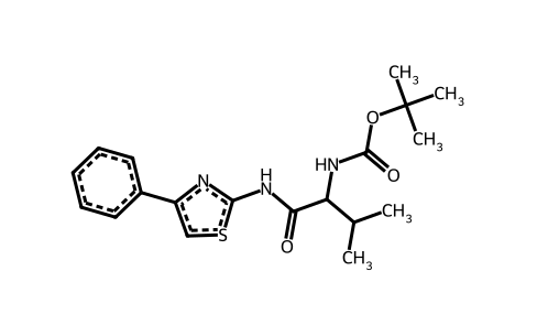 CC(C)C(NC(=O)OC(C)(C)C)C(=O)Nc1nc(-c2ccccc2)cs1